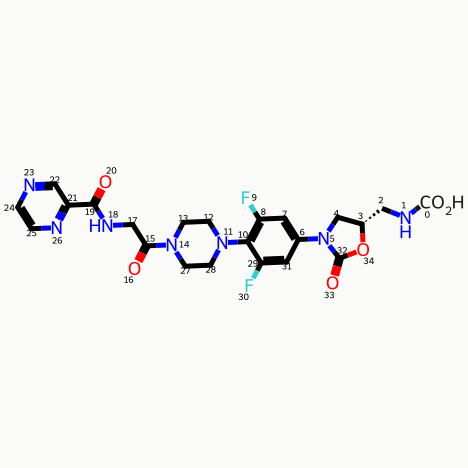 O=C(O)NC[C@H]1CN(c2cc(F)c(N3CCN(C(=O)CNC(=O)c4cnccn4)CC3)c(F)c2)C(=O)O1